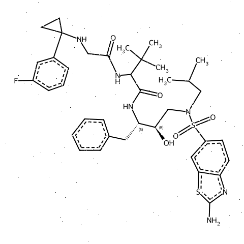 CC(C)CN(C[C@@H](O)[C@H](Cc1ccccc1)NC(=O)C(NC(=O)CNC1(c2cccc(F)c2)CC1)C(C)(C)C)S(=O)(=O)c1ccc2nc(N)sc2c1